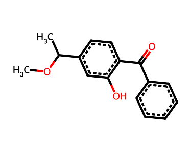 COC(C)c1ccc(C(=O)c2ccccc2)c(O)c1